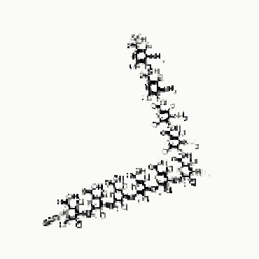 Nc1c(Cl)c(Cl)nc(C(=O)O)c1Cl.Nc1c(Cl)c(Cl)nc(C(=O)O)c1Cl.Nc1c(Cl)c(Cl)nc(C(=O)O)c1Cl.Nc1c(Cl)c(Cl)nc(C(=O)O)c1Cl.Nc1c(Cl)c(Cl)nc(C(=O)O)c1Cl.Nc1c(Cl)c(Cl)nc(C(=O)O)c1Cl.Nc1c(Cl)c(Cl)nc(C(=O)O)c1Cl.Nc1c(Cl)c(Cl)nc(C(=O)O)c1Cl.Nc1c(Cl)c(Cl)nc(C(=O)O)c1Cl.Nc1c(Cl)c(Cl)nc(C(=O)O)c1Cl.[S-2].[S-2].[S-2].[S-2].[S-2]